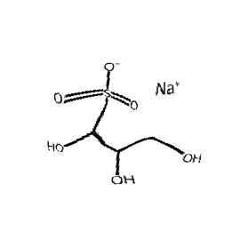 O=S(=O)([O-])C(O)C(O)CO.[Na+]